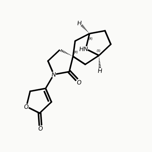 O=C1C=C(N2CC[C@@]3(C[C@H]4CC[C@@H](C3)N4)C2=O)CO1